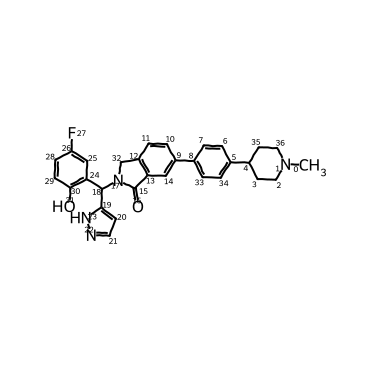 CN1CCC(c2ccc(-c3ccc4c(c3)C(=O)N(C(c3ccn[nH]3)c3cc(F)ccc3O)C4)cc2)CC1